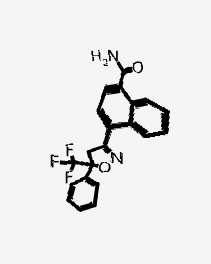 NC(=O)c1ccc(C2=NOC(c3ccccc3)(C(F)(F)F)C2)c2ccccc12